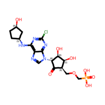 O=C1[C@H](COCP(=O)(O)O)[C@H](O)[C@H](O)[C@H]1n1cnc2c(N[C@H]3CC[C@@H](O)C3)nc(Cl)nc21